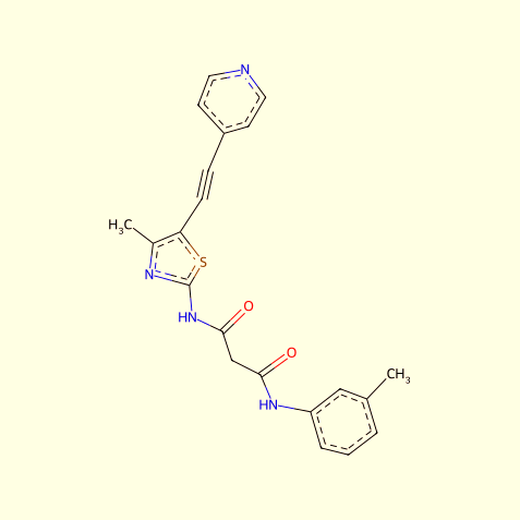 Cc1cccc(NC(=O)CC(=O)Nc2nc(C)c(C#Cc3ccncc3)s2)c1